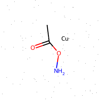 CC(=O)ON.[Cu]